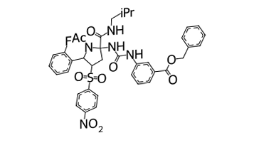 CC(=O)N1C(c2ccccc2F)C(S(=O)(=O)c2ccc([N+](=O)[O-])cc2)CC1(NC(=O)Nc1cccc(C(=O)OCc2ccccc2)c1)C(=O)NCC(C)C